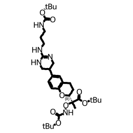 CC(C)(C)OC(=O)NCCCNC1=NCC(c2ccc3c(c2)CC[C@H](C(C)(ONC(=O)OC(C)(C)C)C(=O)OC(C)(C)C)O3)CN1